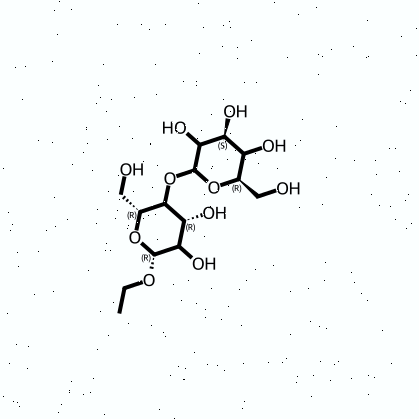 CCO[C@@H]1O[C@H](CO)C(OC2O[C@H](CO)C(O)[C@H](O)C2O)[C@H](O)C1O